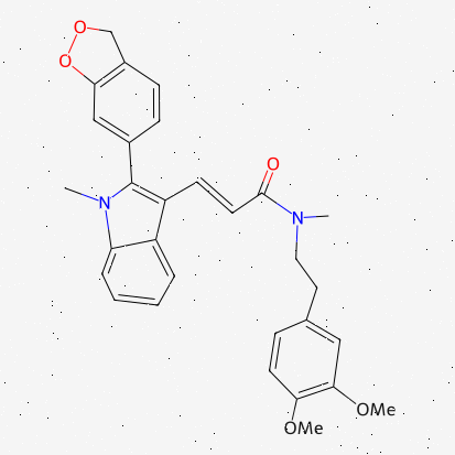 COc1ccc(CCN(C)C(=O)/C=C/c2c(-c3ccc4c(c3)OOC4)n(C)c3ccccc23)cc1OC